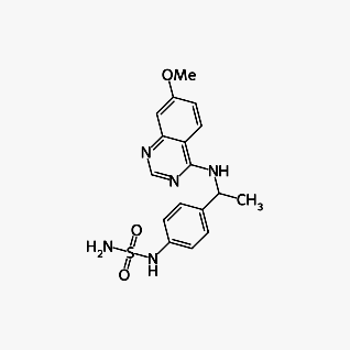 COc1ccc2c(NC(C)c3ccc(NS(N)(=O)=O)cc3)ncnc2c1